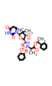 C[C@H](NP(=O)(OC[C@H]1O[C@@H](n2ccc(=O)[nH]c2=O)[C@](C)(C#N)[C@@H]1O)Oc1ccccc1)C(=O)O[C@H](C)c1ccccc1